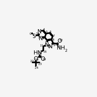 CSc1ncc2ccc3c(C(N)=O)nn(CCNC(=O)OC(C)(C)C)c3c2n1